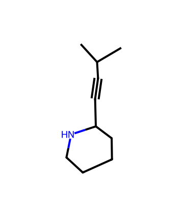 CC(C)C#CC1CCCCN1